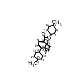 CC1CCC(OC(=O)C2=CC=C(C3CCC(C)CC3)C(F)(F)C2(F)F)CC1